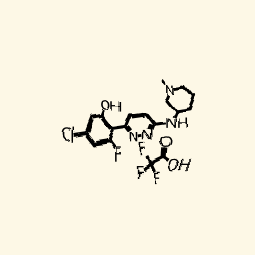 CN1CCCC(Nc2ccc(-c3c(O)cc(Cl)cc3F)nn2)C1.O=C(O)C(F)(F)F